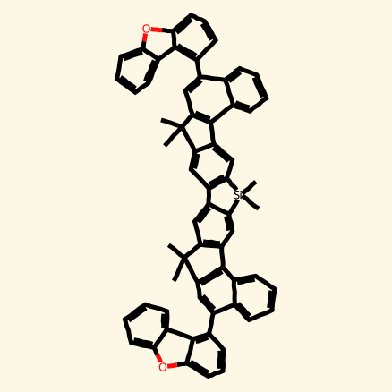 CC1(C)c2cc3c(cc2-c2c1cc(-c1cccc4oc5ccccc5c14)c1ccccc21)[Si](C)(C)c1cc2c(cc1-3)C(C)(C)c1cc(-c3cccc4oc5ccccc5c34)c3ccccc3c1-2